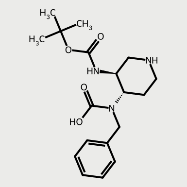 CC(C)(C)OC(=O)N[C@H]1CNCC[C@@H]1N(Cc1ccccc1)C(=O)O